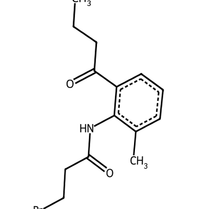 CCCC(=O)c1cccc(C)c1NC(=O)CCBr